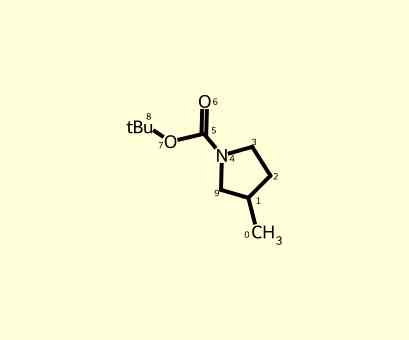 C[C]1CCN(C(=O)OC(C)(C)C)C1